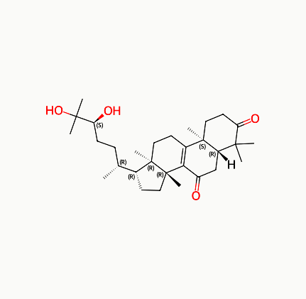 C[C@H](CC[C@H](O)C(C)(C)O)[C@H]1CC[C@@]2(C)C3=C(CC[C@]12C)[C@@]1(C)CCC(=O)C(C)(C)[C@@H]1CC3=O